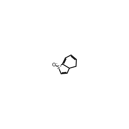 [O-][S+]1C=CC2CC=CC=C21